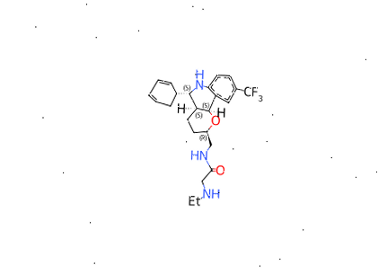 CCNCC(=O)NC[C@H]1CC[C@@H]2[C@H](O1)c1cc(C(F)(F)F)ccc1N[C@H]2C1C=CC=CC1